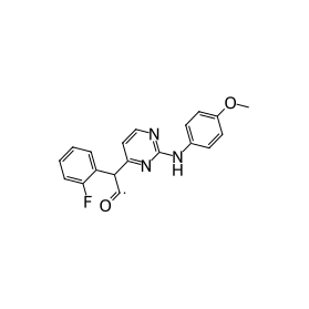 COc1ccc(Nc2nccc(C([C]=O)c3ccccc3F)n2)cc1